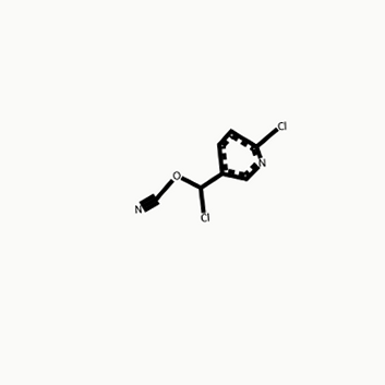 N#COC(Cl)c1ccc(Cl)nc1